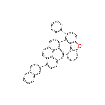 c1ccc(-c2ccc3oc4ccccc4c3c2-c2ccc3ccc4c(-c5ccc6ccccc6c5)ccc5ccc2c3c54)cc1